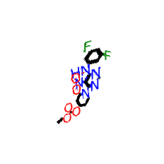 CCOC(=O)OC1CCN(c2ncnc(Nc3cc(F)cc(F)c3)c2[N+](=O)[O-])CC1